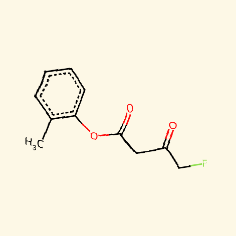 Cc1ccccc1OC(=O)CC(=O)CF